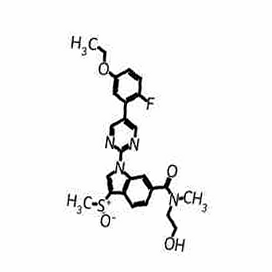 CCOc1ccc(F)c(-c2cnc(-n3cc([S+](C)[O-])c4ccc(C(=O)N(C)CCO)cc43)nc2)c1